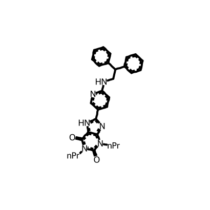 CCCn1c(=O)c2[nH]c(-c3ccc(NCC(c4ccccc4)c4ccccc4)nc3)nc2n(CCC)c1=O